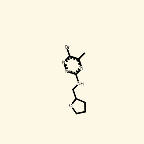 Cc1nc(NCC2CCCO2)nnc1Br